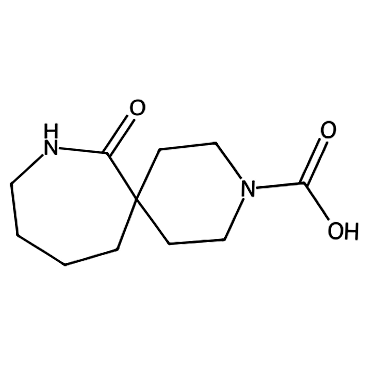 O=C(O)N1CCC2(CCCCNC2=O)CC1